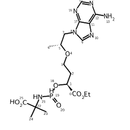 CCOC(=O)[C@H](CCO[C@H](C)Cn1cnc2c(N)ncnc21)O[PH](=O)NC(C)(C)C(=O)O